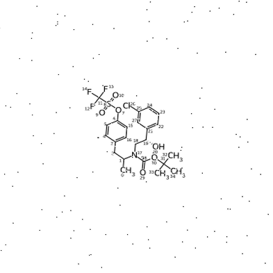 CC(Cc1ccc(OS(=O)(=O)C(F)(F)F)cc1)N(C[C@@H](O)c1cccc(Cl)c1)C(=O)OC(C)(C)C